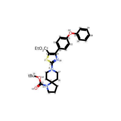 CCOC(=O)c1sc(N2CCC3(CCCN3C(=O)OC(C)(C)C)CC2)nc1-c1ccc(Oc2ccccc2)cc1